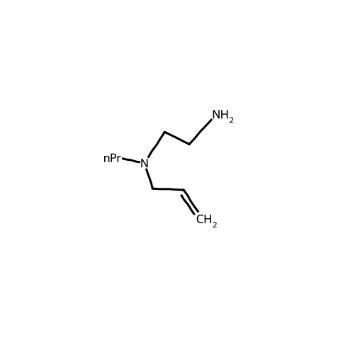 [CH2]CCN(CC=C)CCN